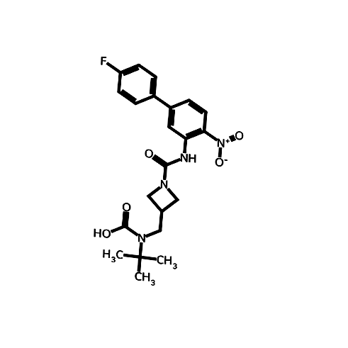 CC(C)(C)N(CC1CN(C(=O)Nc2cc(-c3ccc(F)cc3)ccc2[N+](=O)[O-])C1)C(=O)O